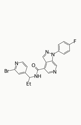 CCC(NC(=O)c1cncc2c1cnn2-c1ccc(F)cc1)c1ccnc(Br)c1